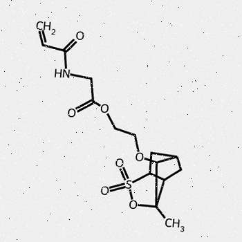 C=CC(=O)NCC(=O)OCCOC1C2CC3C(C2)S(=O)(=O)OC31C